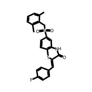 Cc1cccc(C)c1CS(=O)(=O)c1ccc2c(c1)NC(=O)/C(=C/c1ccc(F)cc1)S2